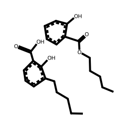 CCCCCOC(=O)c1ccccc1O.CCCCCc1cccc(C(=O)O)c1O